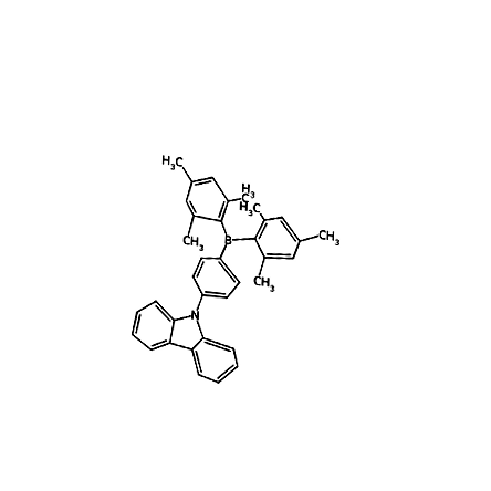 Cc1cc(C)c(B(c2ccc(-n3c4ccccc4c4ccccc43)cc2)c2c(C)cc(C)cc2C)c(C)c1